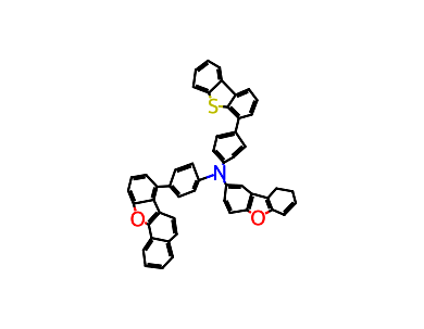 C1=Cc2oc3ccc(N(c4ccc(-c5cccc6c5sc5ccccc56)cc4)c4ccc(-c5cccc6oc7c8ccccc8ccc7c56)cc4)cc3c2CC1